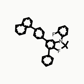 CC(C)(C)N(c1ccccc1F)c1cc(-c2ccc(-c3cccc4ccccc34)cc2)cc(-c2ccccc2)c1F